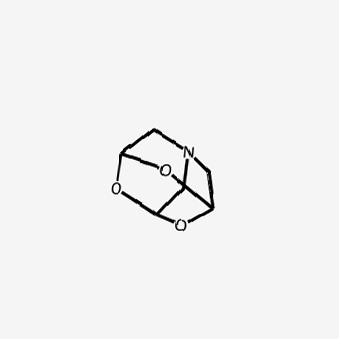 C1C2OC3CN1CC(O2)O3